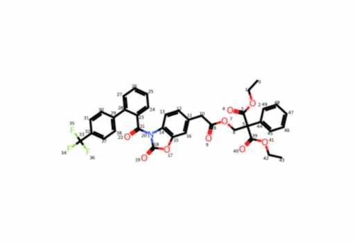 CCOC(=O)C(COC(=O)Cc1ccc2c(c1)oc(=O)n2C(=O)c1ccccc1-c1ccc(C(F)(F)F)cc1)(C(=O)OCC)c1ccccc1